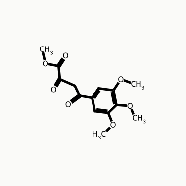 COC(=O)C(=O)CC(=O)c1cc(OC)c(OC)c(OC)c1